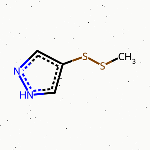 CSSc1cn[nH]c1